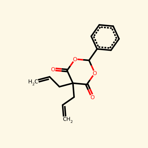 C=CCC1(CC=C)C(=O)OC(c2ccccc2)OC1=O